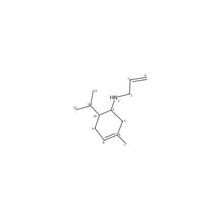 C=CCNC1CC(C)=CCC1C(C)C